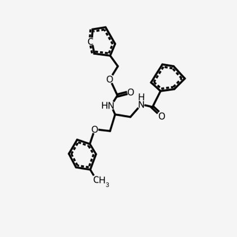 Cc1cccc(OCC(CNC(=O)c2ccccc2)NC(=O)OCc2ccccc2)c1